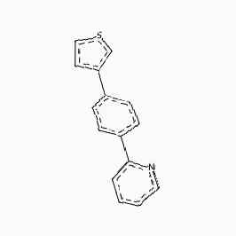 c1ccc(-c2ccc(-c3ccsc3)cc2)nc1